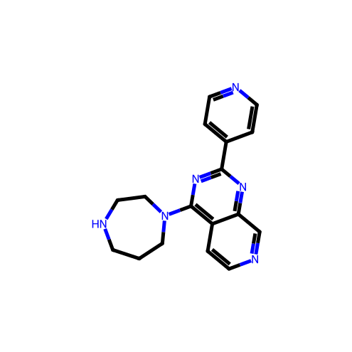 c1cc(-c2nc(N3CCCNCC3)c3ccncc3n2)ccn1